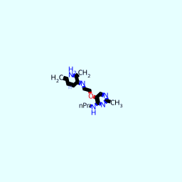 C=C/C=C\C(=N/CCOc1cnc(C)nc1NCCC)C(=C)N